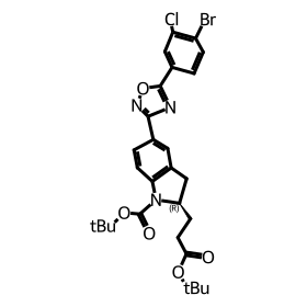 CC(C)(C)OC(=O)CC[C@@H]1Cc2cc(-c3noc(-c4ccc(Br)c(Cl)c4)n3)ccc2N1C(=O)OC(C)(C)C